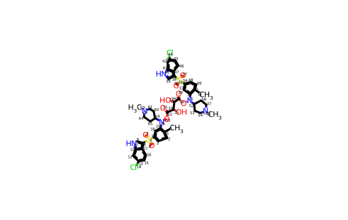 Cc1ccc(S(=O)(=O)c2c[nH]c3cc(Cl)ccc23)cc1N(OC(=O)C(O)C(O)C(=O)ON(c1cc(S(=O)(=O)c2c[nH]c3cc(Cl)ccc23)ccc1C)C1CCN(C)CC1)C1CCN(C)CC1